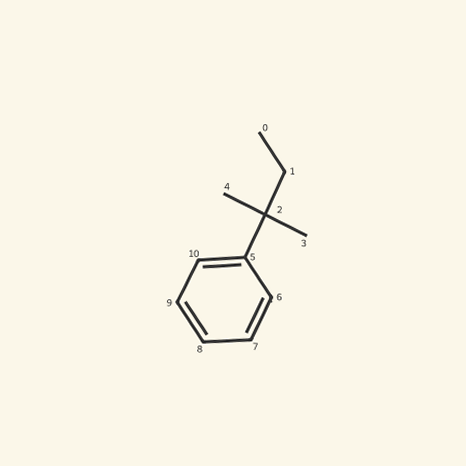 CCC(C)(C)c1[c]cccc1